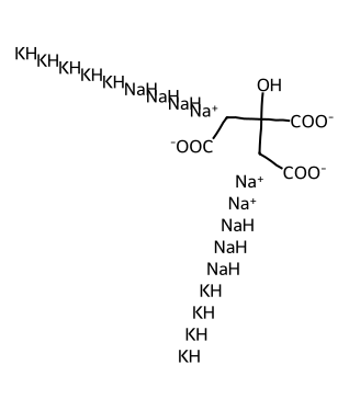 O=C([O-])CC(O)(CC(=O)[O-])C(=O)[O-].[KH].[KH].[KH].[KH].[KH].[KH].[KH].[KH].[KH].[Na+].[Na+].[Na+].[NaH].[NaH].[NaH].[NaH].[NaH].[NaH]